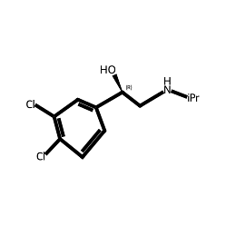 CC(C)NC[C@H](O)c1ccc(Cl)c(Cl)c1